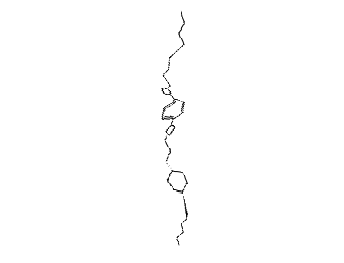 CCCCCCCCOc1ccc(OCCC[C@H]2CC[C@H](CCCCC)CC2)cc1